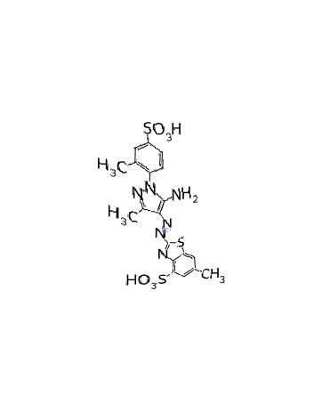 Cc1cc(S(=O)(=O)O)c2nc(/N=N/c3c(C)nn(-c4ccc(S(=O)(=O)O)cc4C)c3N)sc2c1